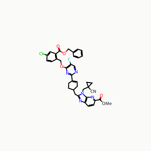 COC(=O)c1ccc2nc(CC3CC=C(c4ncc(F)c(OCc5ccc(Cl)cc5C(=O)OCc5ccccc5)n4)CC3)n(CC3(C#N)CC3)c2n1